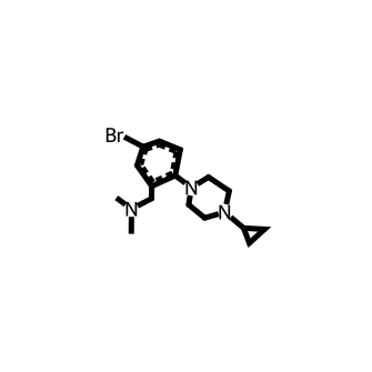 CN(C)Cc1cc(Br)ccc1N1CCN(C2CC2)CC1